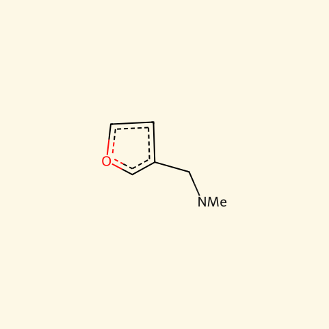 [CH2]NCc1ccoc1